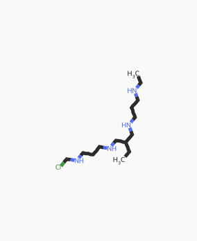 CCNCCCNCC(CC)CNCCCNCCl